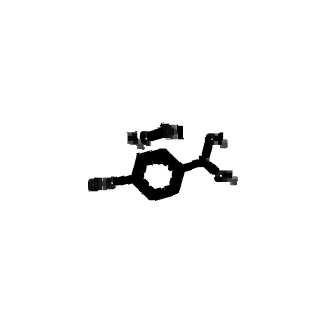 CN(C)c1ccc(C=O)cc1.CO